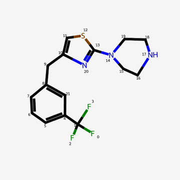 FC(F)(F)c1cccc(Cc2csc(N3CCNCC3)n2)c1